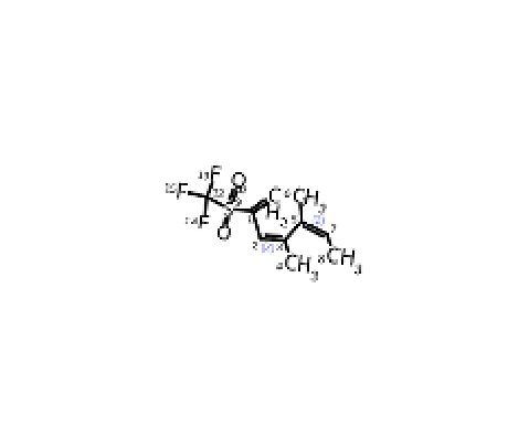 C=C(/C=C(C)\C(C)=C/C)S(=O)(=O)C(F)(F)F